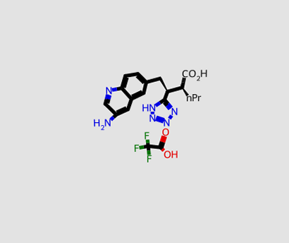 CCC[C@H](C(=O)O)[C@H](Cc1ccc2ncc(N)cc2c1)c1nnn[nH]1.O=C(O)C(F)(F)F